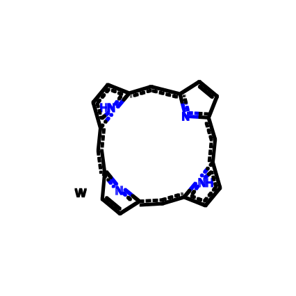 C1=Cc2cc3ccc(cc4nc(cc5ccc(cc1n2)[nH]5)C=C4)[nH]3.[W]